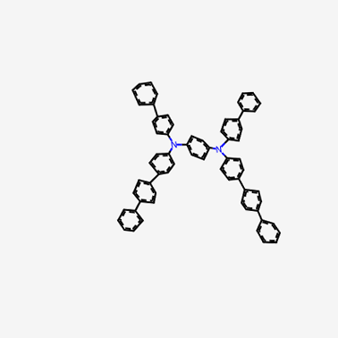 c1ccc(-c2ccc(-c3ccc(N(c4ccc(-c5ccccc5)cc4)c4ccc(N(c5ccc(-c6ccccc6)cc5)c5ccc(-c6ccc(-c7ccccc7)cc6)cc5)cc4)cc3)cc2)cc1